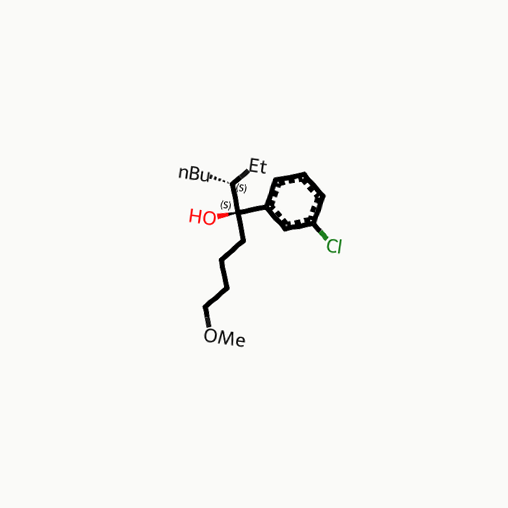 CCCC[C@H](CC)[C@@](O)(CCCCOC)c1cccc(Cl)c1